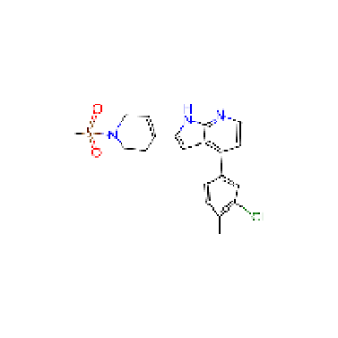 Cc1ccc(-c2ccnc3[nH]c(C4=CCN(S(C)(=O)=O)CC4)cc23)cc1Cl